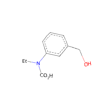 CCN(C(=O)O)c1cccc(CO)c1